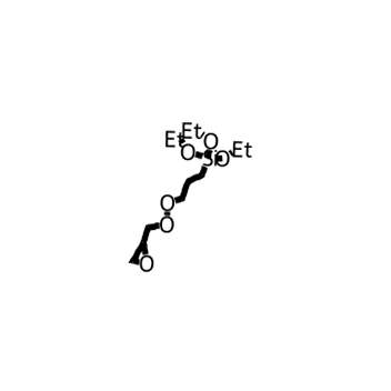 CCO[Si](CCCOOCC1CO1)(OCC)OCC